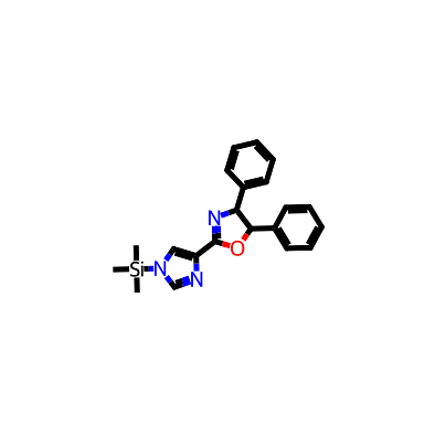 C[Si](C)(C)n1cnc(C2=NC(c3ccccc3)C(c3ccccc3)O2)c1